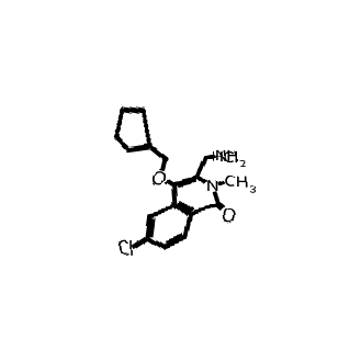 Cl.Cn1c(CN)c(OCC2CCCC2)c2cc(Cl)ccc2c1=O